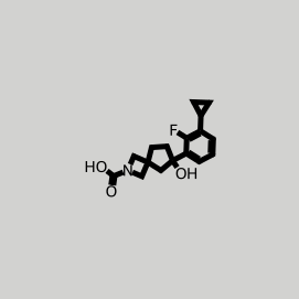 O=C(O)N1CC2(CCC(O)(c3cccc(C4CC4)c3F)C2)C1